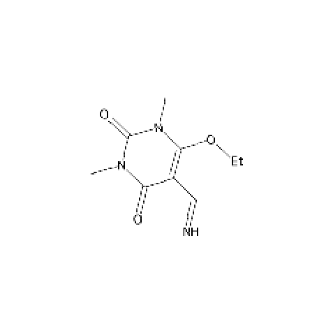 CCOc1c(C=N)c(=O)n(C)c(=O)n1C